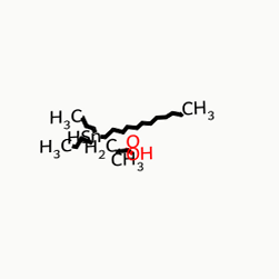 C=C(C)C(=O)O.CCCCCCCCCCC[CH2][SnH]([CH2]CCC)[CH2]CCC